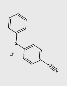 N#[N+]c1ccc(Sc2ccccc2)cc1.[Cl-]